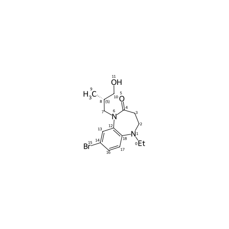 CCN1CCC(=O)N(C[C@H](C)CO)c2cc(Br)ccc21